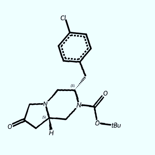 CC(C)(C)OC(=O)N1C[C@@H]2CC(=O)CN2C[C@@H]1Cc1ccc(Cl)cc1